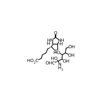 N[C@@](O)(C=O)C(O)C(O)C(O)CO.O=C(O)CCCC[C@@H]1SC[C@@H]2NC(=O)N[C@@H]21